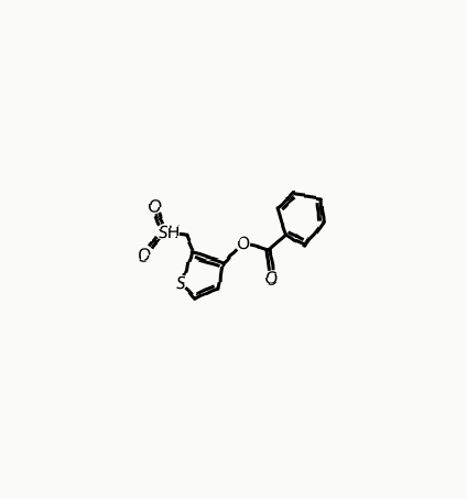 O=C(Oc1ccsc1C[SH](=O)=O)c1ccccc1